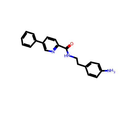 Nc1ccc(CCNC(=O)c2ccc(-c3ccccc3)cn2)cc1